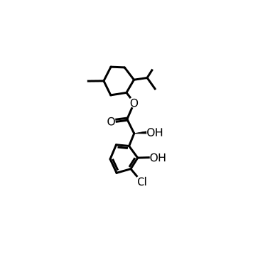 CC1CCC(C(C)C)C(OC(=O)[C@@H](O)c2cccc(Cl)c2O)C1